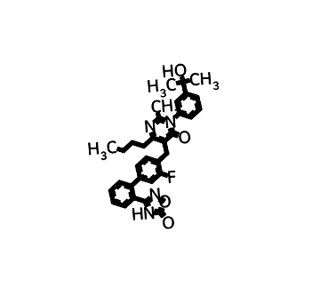 CCCCc1nc(C)n(-c2cccc(C(C)(C)O)c2)c(=O)c1Cc1ccc(-c2ccccc2-c2noc(=O)[nH]2)cc1F